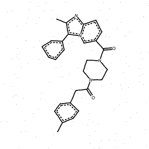 Cc1ccc(CC(=O)N2CCN(C(=O)c3ccc4nc(C)c(-c5ccccc5)n4c3)CC2)cc1